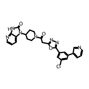 O=C(Cc1nnc(-c2cc(Cl)cc(-c3cccnc3)c2)o1)N1CCC(n2c(=O)[nH]c3ncccc32)CC1